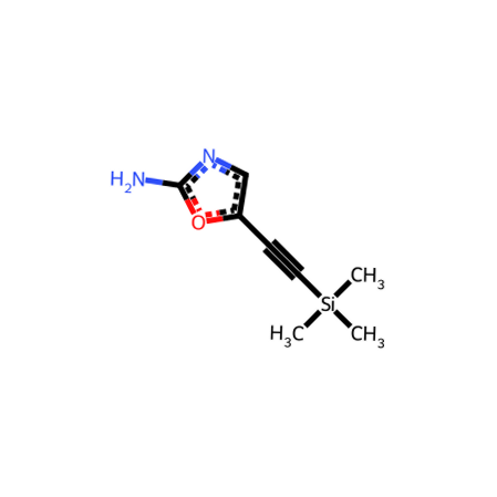 C[Si](C)(C)C#Cc1cnc(N)o1